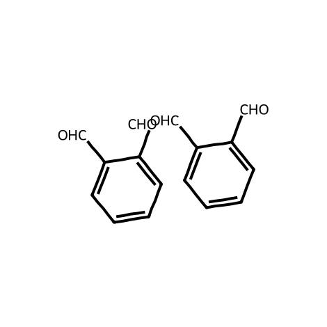 O=Cc1ccccc1C=O.O=Cc1ccccc1C=O